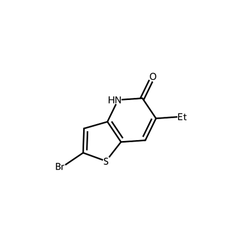 CCc1cc2sc(Br)cc2[nH]c1=O